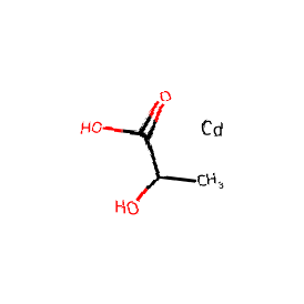 CC(O)C(=O)O.[Cd]